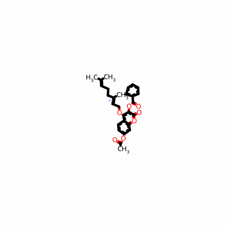 CC(=O)Oc1ccc2c(OC/C=C(\C)CCC=C(C)C)c(OC(=O)c3ccccc3)c(=O)oc2c1